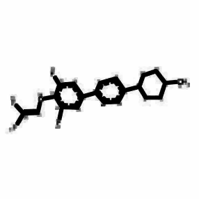 CC1CCC(c2ccc(-c3cc(F)c(OC=C(F)F)c(F)c3)cc2)CC1